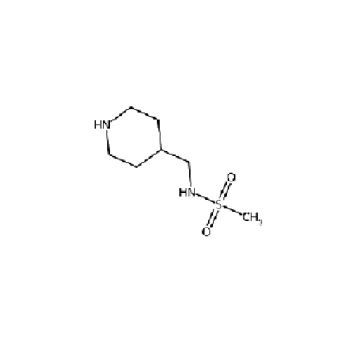 CS(=O)(=O)NCC1CCNCC1